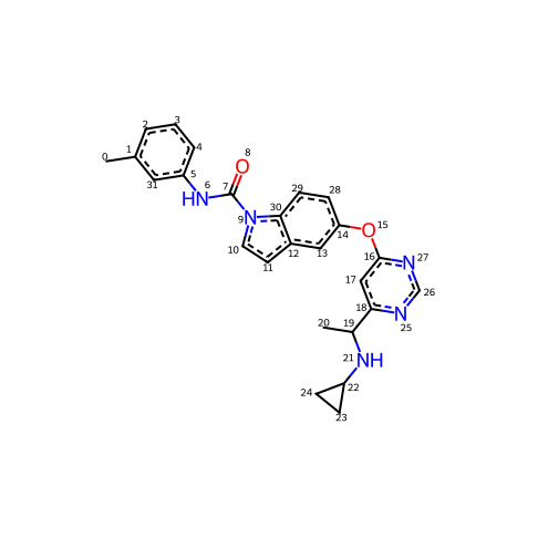 Cc1cccc(NC(=O)n2ccc3cc(Oc4cc(C(C)NC5CC5)ncn4)ccc32)c1